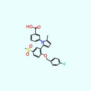 Cc1ccc(-c2cc(S(C)(=O)=O)ccc2OCc2ccc(F)cc2)n1-c1cccc(C(=O)O)c1